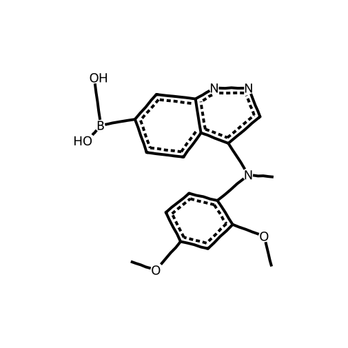 COc1ccc(N(C)c2cnnc3cc(B(O)O)ccc23)c(OC)c1